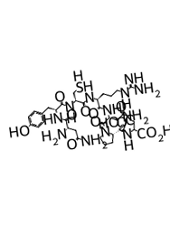 N=C(N)NCCC[C@H](NC(=O)[C@H](CS)NC(=O)[C@H](Cc1ccc(O)cc1)NC(=O)[C@@H](N)CC(N)=O)C(=O)N[C@@H](CC(N)=O)C(=O)N1CCC[C@H]1C(=O)N[C@@H](CC(=O)O)C(=O)O